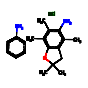 Cc1c(C)c2c(c(C)c1N)CC(C)(C)O2.Cl.Nc1ccccc1